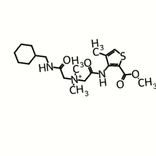 COC(=O)c1scc(C)c1NC(=O)C[N+](C)(C)CC(=O)NCC1CCCCC1